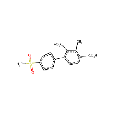 Cc1c(C(=O)O)ccc(-c2ccc(S(C)(=O)=O)cc2)c1C(=O)O